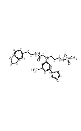 Cc1cc(N(CCCNS(C)(=O)=O)CC(=O)NCCc2ccc3c(c2)CCO3)nc(-n2ccnc2)n1